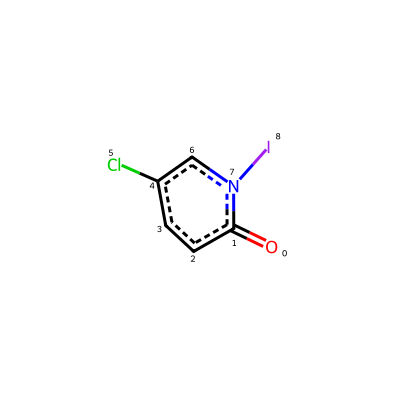 O=c1ccc(Cl)cn1I